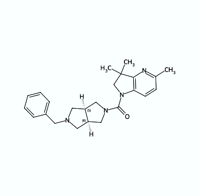 Cc1ccc2c(n1)C(C)(C)CN2C(=O)N1C[C@H]2CN(Cc3ccccc3)C[C@H]2C1